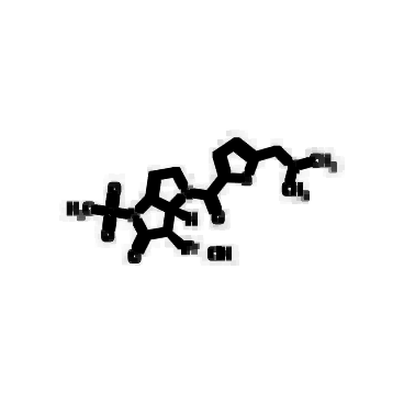 CC(C)[C@H]1C(=O)N(S(C)(=O)=O)C2=CCN(C(=O)c3ccc(CN(C)C)s3)[C@@H]21.Cl